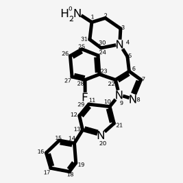 NC1CCN(Cc2cnn(-c3ccc(-c4ccccc4)nc3)c2-c2ccccc2F)CC1